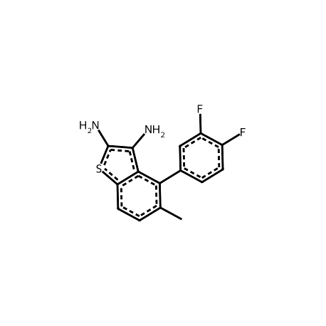 Cc1ccc2sc(N)c(N)c2c1-c1ccc(F)c(F)c1